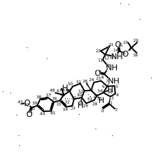 C=C(C)[C@@H]1CC[C@]2(NC(=O)NCC3(NC(=O)OC(C)(C)C)CC3)CC[C@]3(C)[C@H](CC[C@@H]4[C@@]5(C)CC=C(c6ccc(C(=O)OC)cc6)C(C)(C)[C@@H]5CC[C@]43C)[C@@H]12